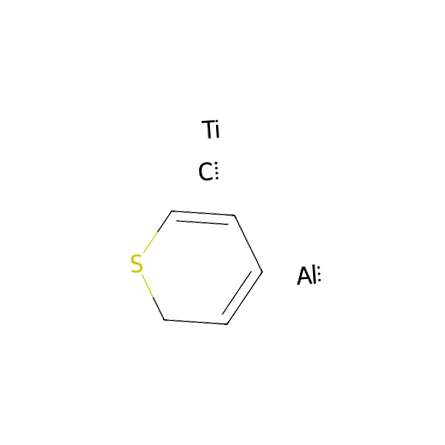 C1=CCSC=C1.[Al].[C].[Ti]